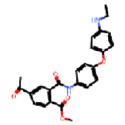 CCNc1ccc(Oc2ccc(NC(=O)c3cc(C(C)=O)ccc3C(=O)OC)cc2)cc1